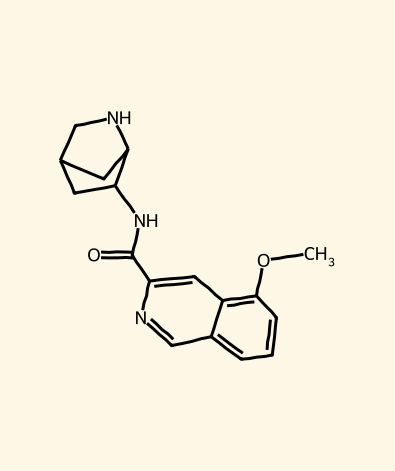 COc1cccc2cnc(C(=O)NC3CC4CNC3C4)cc12